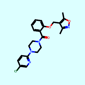 Cc1noc(C)c1COc1ccccc1C(=O)N1CCN(c2ccc(Cl)cn2)CC1